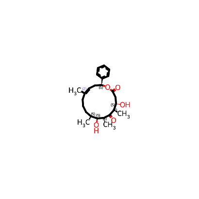 C/C1=C/C[C@@H](c2ccccc2)OC(=O)C[C@H](O)[C@@H](C)C(=O)[C@H](C)[C@@H](O)[C@@H](C)CCC1